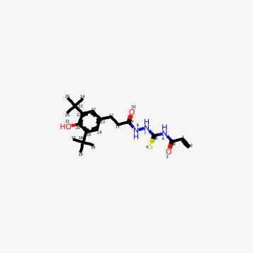 C=CC(=O)NC(=S)NNC(=O)CCc1cc(C(C)(C)C)c(O)c(C(C)(C)C)c1